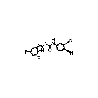 N#Cc1ccc(NC(=O)Nc2nc3c(F)cc(F)cc3s2)cc1C#N